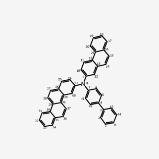 c1ccc(-c2ccc(N(c3ccc4c(ccc5ccccc54)c3)c3ccc4ccc5c6ccccc6ccc5c4c3)cc2)cc1